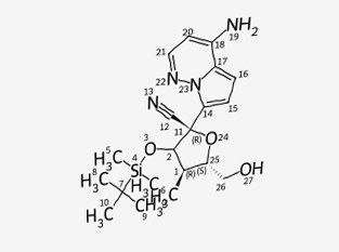 C[C@H]1C(O[Si](C)(C)C(C)(C)C)[C@](C#N)(c2ccc3c(N)ccnn23)O[C@@H]1CO